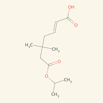 CC(C)OC(=O)CC(C)(C)CC=CC(=O)O